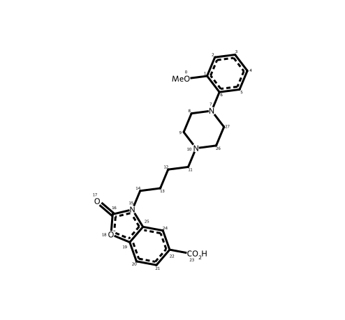 COc1ccccc1N1CCN(CCCCn2c(=O)oc3ccc(C(=O)O)cc32)CC1